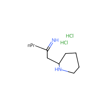 CCCC(=N)CC1CCCCN1.Cl.Cl